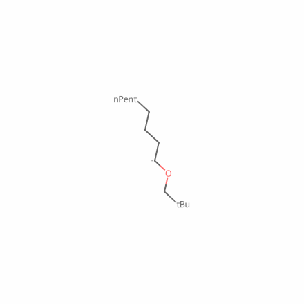 CCCCCCCC[CH]OCC(C)(C)C